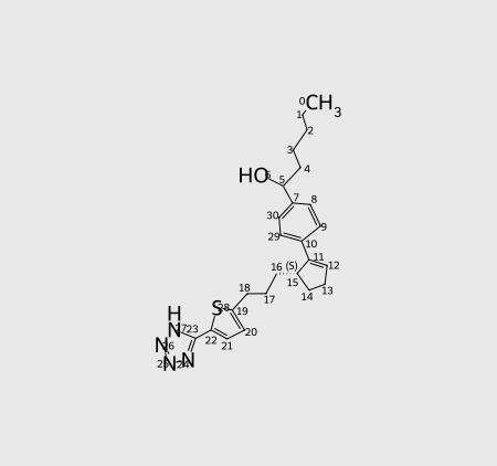 CCCCCC(O)c1ccc(C2=CCC[C@@H]2CCCc2ccc(-c3nnn[nH]3)s2)cc1